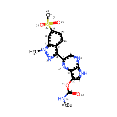 Cn1nc(-c2cnc3[nH]cc(OC(=O)NC(C)(C)C)c3n2)c2ccc(S(C)(=O)=O)cc21